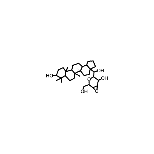 CC1(C)C(O)CCC2(C)C1CCC1(C)C2CCC2C3CCCC3(C(O)C3OC(CO)C4OC4C3O)CC[C@]21C